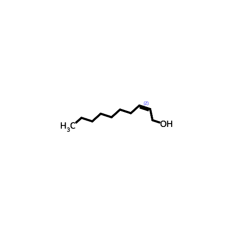 CCCCCCC/C=C\CO